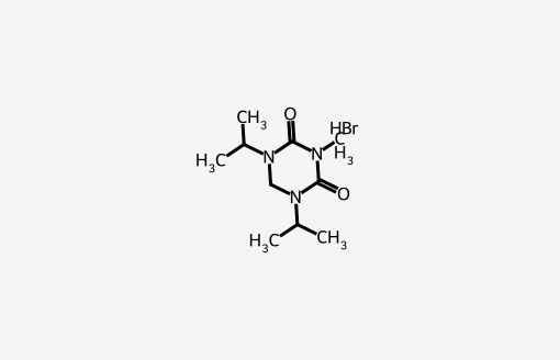 Br.CC(C)N1CN(C(C)C)C(=O)N(C)C1=O